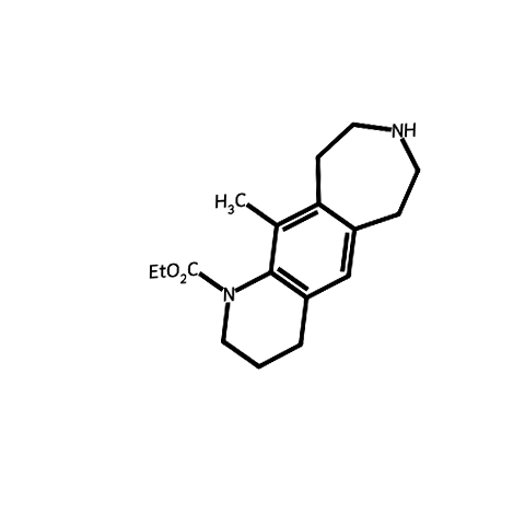 CCOC(=O)N1CCCc2cc3c(c(C)c21)CCNCC3